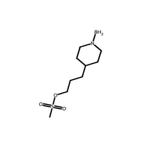 BN1CCC(CCCOS(C)(=O)=O)CC1